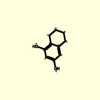 Oc1cc(O)c2c(c1)CCCC2